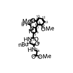 CCCC[C@H](NC(=O)c1cc(-c2c(OC)cccc2OC)n(C(C)C(C)C)n1)C(=O)NCC(=O)OC